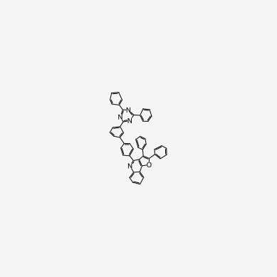 c1ccc(-c2nc(-c3ccccc3)nc(-c3cccc(-c4ccc(-c5nc6ccccc6c6oc(-c7ccccc7)c(-c7ccccc7)c56)cc4)c3)n2)cc1